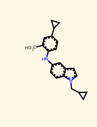 O=C(O)c1cc(C2CC2)ccc1Nc1ccc2c(ccn2CC2CC2)c1